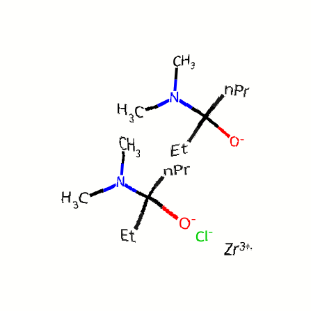 CCCC([O-])(CC)N(C)C.CCCC([O-])(CC)N(C)C.[Cl-].[Zr+3]